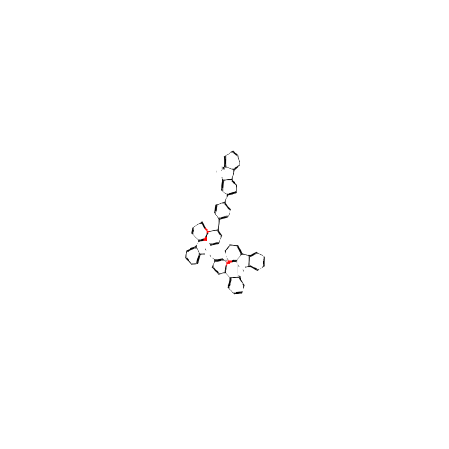 c1ccc(-c2ccccc2N(c2ccc(-c3ccc(-c4ccc5c(c4)oc4ccccc45)cc3)cc2)c2ccc(-c3ccccc3-n3c4ccccc4c4ccccc43)cc2)cc1